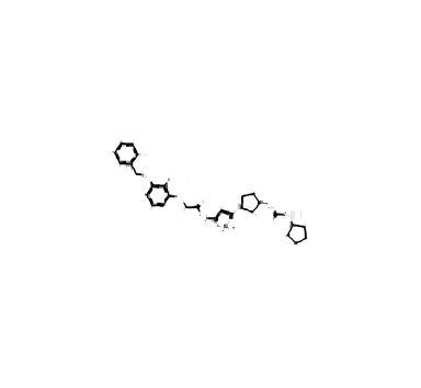 O=Cc1c(OCC(=O)Nc2cc([C@H]3CC[C@@H](OC(=O)NC4CCCC4)C3)[nH]n2)cccc1OCc1ccccc1